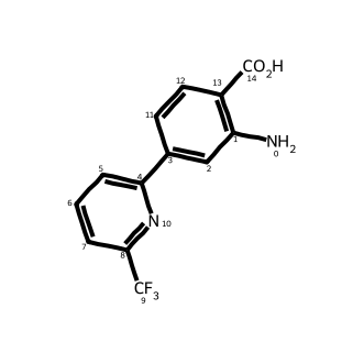 Nc1cc(-c2cccc(C(F)(F)F)n2)ccc1C(=O)O